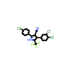 N#Cc1c(-c2ccc(Cl)cc2)[nH]c(C(F)(F)F)c1-c1ccc(Cl)c(Cl)c1